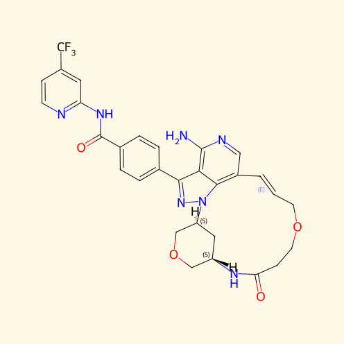 Nc1ncc2c3c1c(-c1ccc(C(=O)Nc4cc(C(F)(F)F)ccn4)cc1)nn3[C@@H]1COC[C@H](C1)NC(=O)CCOC/C=C/2